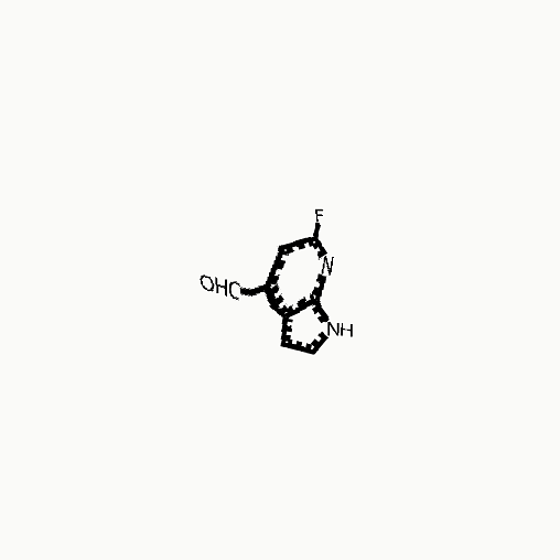 O=Cc1cc(F)nc2[nH]ccc12